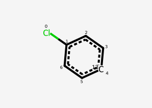 Clc1cc[13cH]cc1